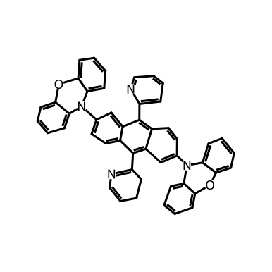 C1=CN=C(c2c3cc(N4c5ccccc5Oc5ccccc54)ccc3c(-c3ccccn3)c3cc(N4c5ccccc5Oc5ccccc54)ccc23)CC1